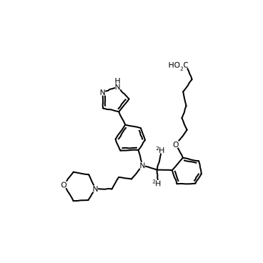 [2H]C([2H])(c1ccccc1OCCCCCC(=O)O)N(CCCN1CCOCC1)c1ccc(-c2cn[nH]c2)cc1